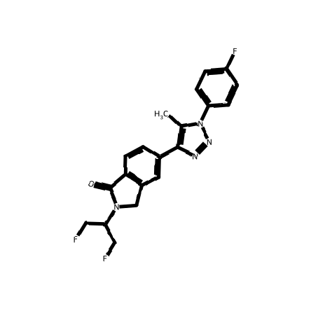 Cc1c(-c2ccc3c(c2)CN(C(CF)CF)C3=O)nnn1-c1ccc(F)cc1